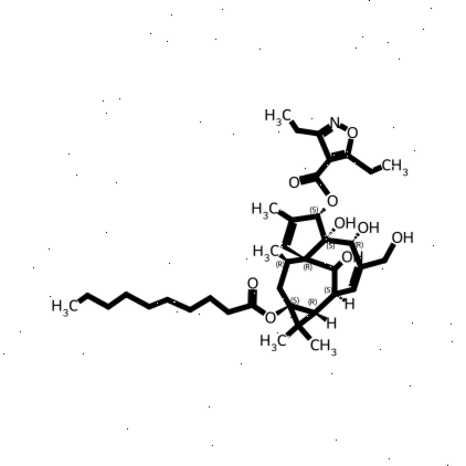 CCCCCCCCCC(=O)O[C@@]12C[C@@H](C)[C@]34C=C(C)[C@H](OC(=O)c5c(CC)noc5CC)[C@@]3(O)[C@H](O)C(CO)=C[C@H](C4O)[C@@H]1C2(C)C